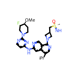 CO[C@H]1CCN(c2nccc(Nc3cc4c(C(C)C)cnc(N5CC(C[S@](C)(=N)=O)C5)c4cn3)n2)C[C@H]1F